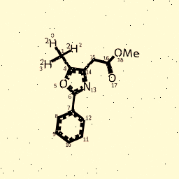 [2H]C([2H])([2H])c1oc(-c2ccccc2)nc1CC(=O)OC